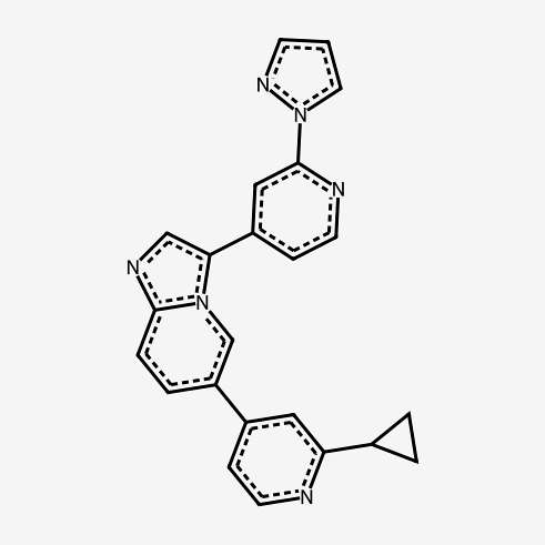 c1cnn(-c2cc(-c3cnc4ccc(-c5ccnc(C6CC6)c5)cn34)ccn2)c1